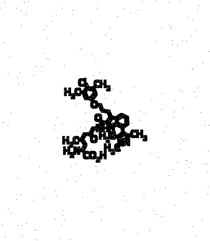 Cc1cc(OCCCc2c(C(=O)NCC(=O)CC(C)C[C@H](N)C(=O)O)[nH]c3c(-c4c(C)nn(C)c4C)cccc23)cc(C)c1Cl